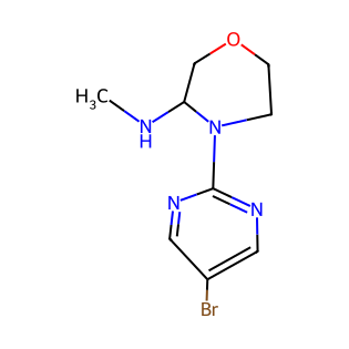 CNC1COCCN1c1ncc(Br)cn1